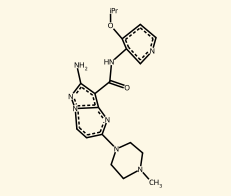 CC(C)Oc1ccncc1NC(=O)c1c(N)nn2ccc(N3CCN(C)CC3)nc12